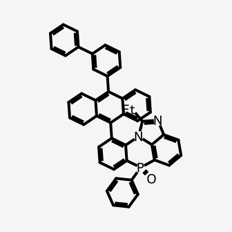 CCc1nc2cccc3c2n1-c1c(-c2c4ccccc4c(-c4cccc(-c5ccccc5)c4)c4ccccc24)cccc1P3(=O)c1ccccc1